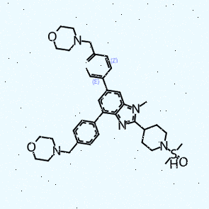 C=C(/C=C\C(=C/C)c1cc(-c2ccc(CN3CCOCC3)cc2)c2nc(C3CCN([SH](C)(C)=O)CC3)n(C)c2c1)CN1CCOCC1